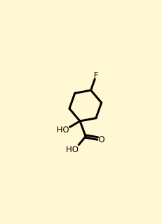 O=C(O)C1(O)CCC(F)CC1